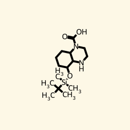 CC(C)(C)[Si](C)(C)OC1CCCC2C1NCCN2C(=O)O